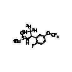 [2H]C([2H])([2H])[C@H](N[S@@+]([O-])C(C)(C)C)c1cc(OC(F)(F)F)ccc1F